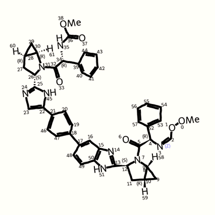 COO/C=N\[C@@H](C(=O)N1[C@@H]2C[C@@H]2C[C@H]1c1nc2cc(-c3ccc(-c4cnc([C@@H]5C[C@H]6C[C@H]6N5C(=O)[C@H](NC(=O)OC)c5ccccc5)[nH]4)cc3)ccc2[nH]1)c1ccccc1